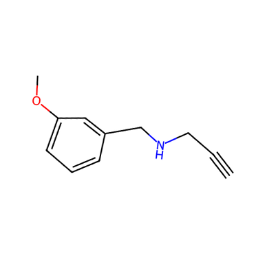 C#CCNCc1cccc(OC)c1